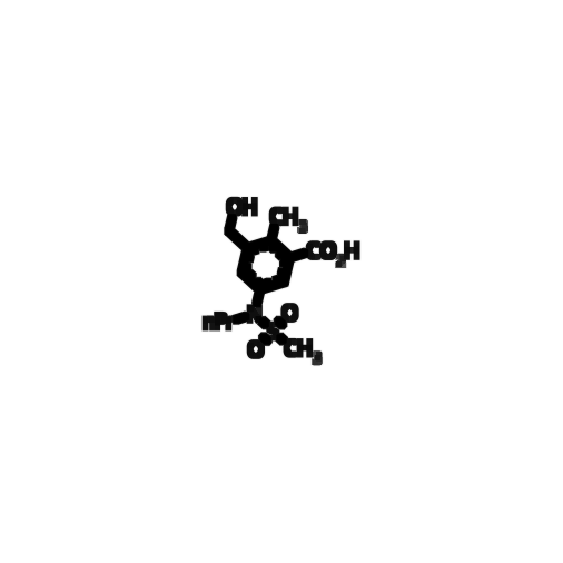 CCCN(c1cc(CO)c(C)c(C(=O)O)c1)S(C)(=O)=O